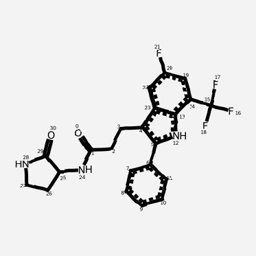 O=C(CCc1c(-c2ccccc2)[nH]c2c(C(F)(F)F)cc(F)cc12)NC1CCNC1=O